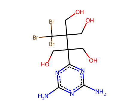 Nc1nc(N)nc(C(CO)(CO)C(CO)(CO)C(Br)(Br)Br)n1